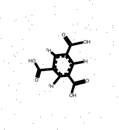 [2H]c1c(C(=O)O)c([2H])c(C(=O)O)c([2H])c1C(=O)O